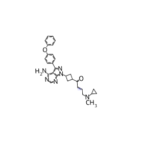 CN(C/C=C/C(=O)C1CC(n2nc(-c3ccc(Oc4ccccc4)cc3)c3c(N)ncnc32)C1)C1CC1